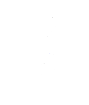 CCOC(=O)[C@H](O)[C@@H](O)/C=C/c1ccc(C#N)cc1